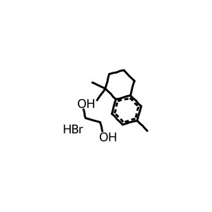 Br.Cc1ccc2c(c1)CCCC2(C)C.OCCO